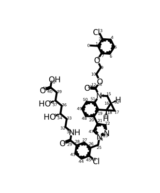 Cc1c(Cl)cccc1OCCOC(=O)N1C[C@@H]2C[C@@H]2c2c(-c3cnn(Cc4cc(C(=O)NCC[C@@H](O)C[C@@H](O)CC(=O)O)ccc4Cl)c3)cccc21